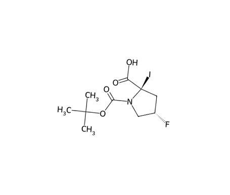 CC(C)(C)OC(=O)N1C[C@@H](F)C[C@@]1(I)C(=O)O